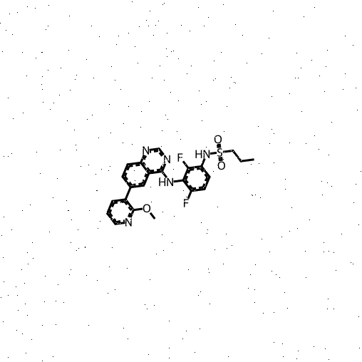 CCCS(=O)(=O)Nc1ccc(F)c(Nc2ncnc3ccc(-c4cccnc4OC)cc23)c1F